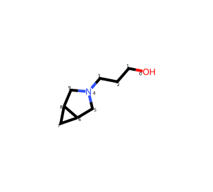 OCCCN1CC2CC2C1